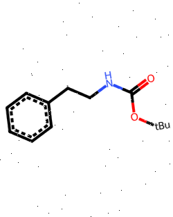 CC(C)(C)OC(=O)NC[CH]c1ccccc1